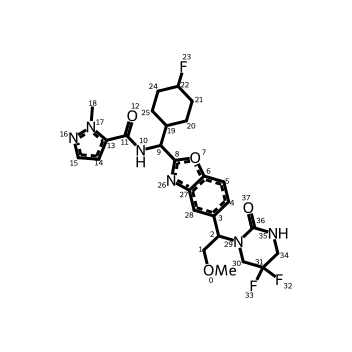 COCC(c1ccc2oc(C(NC(=O)c3ccnn3C)C3CCC(F)CC3)nc2c1)N1CC(F)(F)CNC1=O